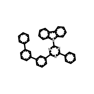 c1ccc(-c2cccc(-c3cccc(-c4nc(-c5ccccc5)nc(-n5c6ccccc6c6ccccc65)n4)c3)c2)cc1